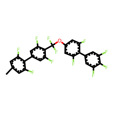 Cc1cc(F)c(-c2cc(F)c(C(F)(F)Oc3cc(F)c(-c4cc(F)c(F)c(F)c4)c(F)c3)c(F)c2)c(F)c1